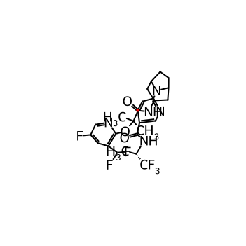 C[C@H](NC(=O)c1ccc(N2C3CCC2CC(NC(=O)C(C)(C)Oc2ncc(F)cc2C(F)F)C3)nc1)C(F)(F)F